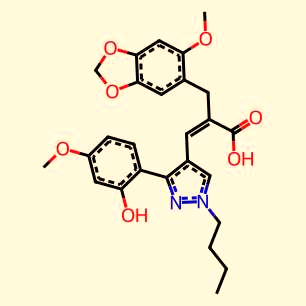 CCCCn1cc(C=C(Cc2cc3c(cc2OC)OCO3)C(=O)O)c(-c2ccc(OC)cc2O)n1